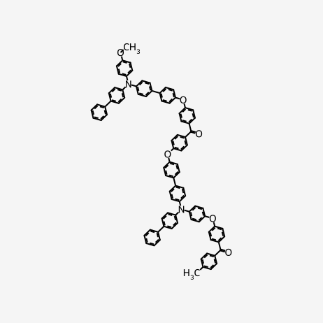 COc1ccc(N(c2ccc(-c3ccccc3)cc2)c2ccc(-c3ccc(Oc4ccc(C(=O)c5ccc(Oc6ccc(-c7ccc(N(c8ccc(Oc9ccc(C(=O)c%10ccc(C)cc%10)cc9)cc8)c8ccc(-c9ccccc9)cc8)cc7)cc6)cc5)cc4)cc3)cc2)cc1